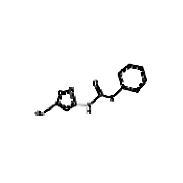 CC(C)(C)c1cc(NC(=O)Sc2ccccc2)no1